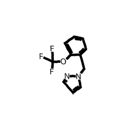 FC(F)(F)Oc1ccccc1Cn1c[c]cn1